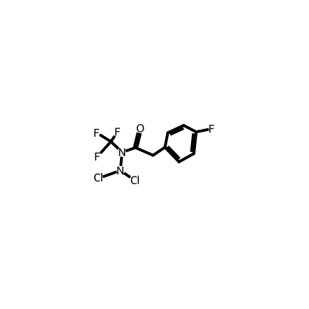 O=C(Cc1ccc(F)cc1)N(N(Cl)Cl)C(F)(F)F